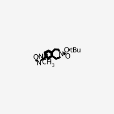 CC(C)(C)OC(=O)N1CCc2ccc(C3(C)N=CON3)cc2CC1